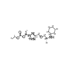 CCOC(=O)O[C@@H](C)n1nnc(COC[C@@H](C)NC2CCCCC2)n1